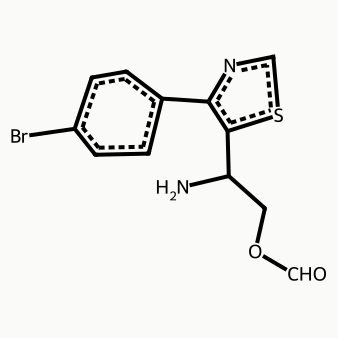 NC(COC=O)c1scnc1-c1ccc(Br)cc1